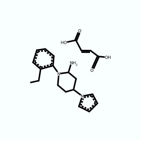 CCc1ccccc1N1CCC(n2cccc2)CC1N.O=C(O)C=CC(=O)O